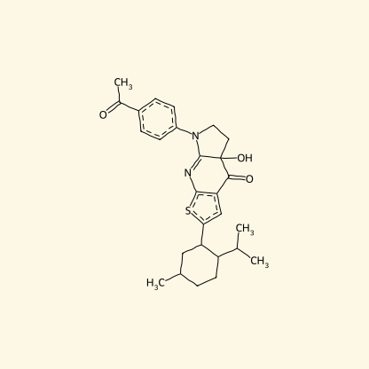 CC(=O)c1ccc(N2CCC3(O)C(=O)c4cc(C5CC(C)CCC5C(C)C)sc4N=C23)cc1